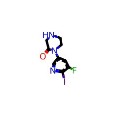 O=C1CNCCN1c1cnc(I)c(F)c1